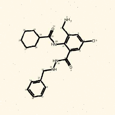 NCc1cc(Cl)cc(C(=O)NNCc2ccccc2)c1NC(=O)C1CCCCC1